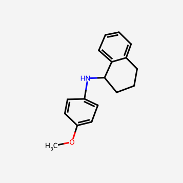 COc1ccc(NC2CCCc3ccccc32)cc1